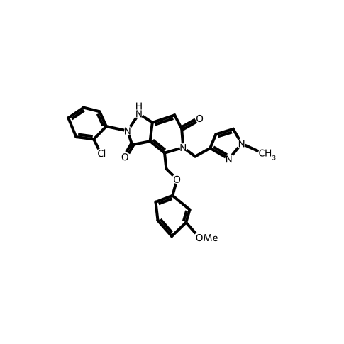 COc1cccc(OCc2c3c(=O)n(-c4ccccc4Cl)[nH]c3cc(=O)n2Cc2ccn(C)n2)c1